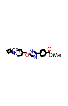 COC(=O)c1ccc(-c2cnc(OCC3CCN(CC4(C(F)(F)F)CCC4)CC3)cn2)cc1